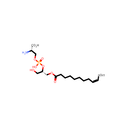 CCCCCCCC/C=C\CCCCCCCC(=O)OC[C@H](CO)OP(=O)(O)OC[C@H](N)C(=O)O